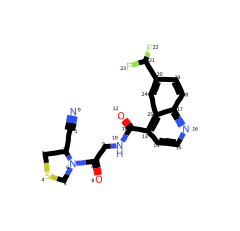 N#CC1CSCN1C(=O)CNC(=O)c1ccnc2ccc(C(F)F)cc12